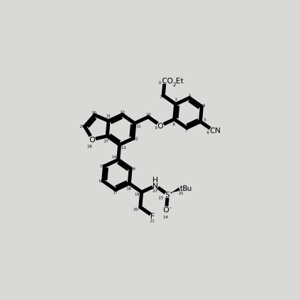 CCOC(=O)Cc1ccc(C#N)cc1OCc1cc(-c2cccc(C(CF)N[S@+]([O-])C(C)(C)C)c2)c2occc2c1